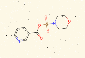 O=C(OS(=O)(=O)N1CCOCC1)c1cccnc1